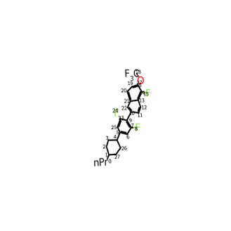 CCCC1CCC(c2cc(F)c(-c3ccc4c(F)c(OC(F)(F)F)ccc4c3)c(F)c2)CC1